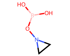 OB(O)ON1CC1